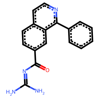 NC(N)=NC(=O)c1ccc2ccnc(-c3ccccc3)c2c1